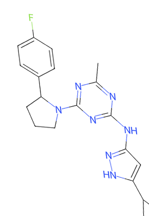 Cc1nc(Nc2cc(C3CC3)[nH]n2)nc(N2CCCC2c2ccc(F)cc2)n1